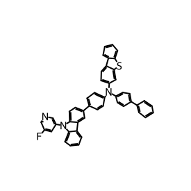 Fc1cncc(-n2c3ccccc3c3cc(-c4ccc(N(c5ccc(-c6ccccc6)cc5)c5ccc6c(c5)sc5ccccc56)cc4)ccc32)c1